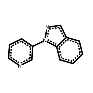 [c]1ccc2c(c1)cnn2-c1cccnc1